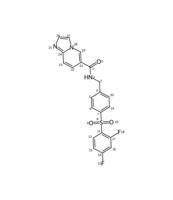 O=C(NCc1ccc(S(=O)(=O)c2ccc(F)cc2F)cc1)c1ccc2nccn2c1